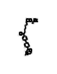 CCOC(=O)CCCCCCC(=O)c1ccc(-c2ccc(C3CN(C)CCO3)cc2)cc1